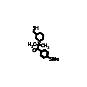 CSc1ccc(C(=O)C(C)(C)N2CCCC(CS)C2)cc1